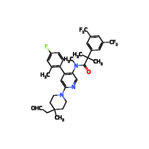 Cc1cc(F)ccc1-c1cc(N2CCC(C)(CC=O)CC2)ncc1N(C)C(=O)C(C)(C)c1cc(C(F)(F)F)cc(C(F)(F)F)c1